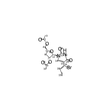 CC(=O)OC[C@@H]1C[C@@H](OC(C)=O)[C@H](n2cc(C(Br)=CI)c(=O)[nH]c2=O)O1